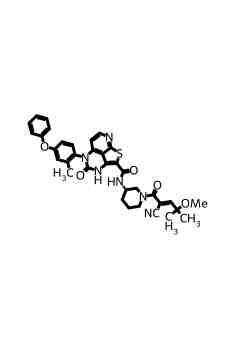 COC(C)(C)/C=C(\C#N)C(=O)N1CCC[C@@H](NC(=O)c2sc3nccc4c3c2NC(=O)N4c2ccc(Oc3ccccc3)cc2C)C1